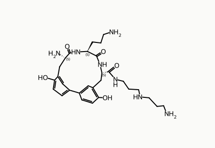 NCCCNCCCNC(=O)[C@@H]1Cc2cc(ccc2O)-c2ccc(O)c(c2)C[C@H](N)C(=O)N[C@@H](CCCN)C(=O)N1